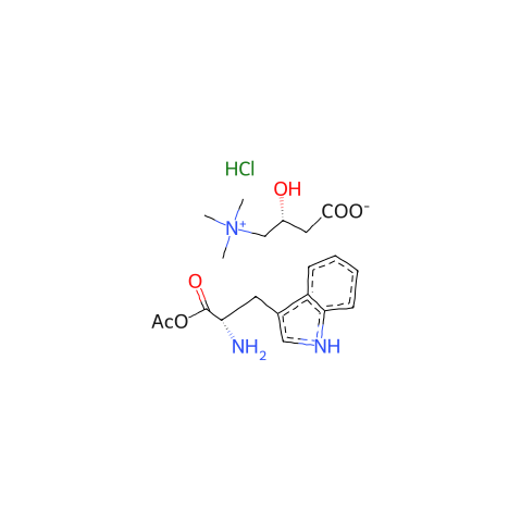 CC(=O)OC(=O)[C@@H](N)Cc1c[nH]c2ccccc12.C[N+](C)(C)C[C@H](O)CC(=O)[O-].Cl